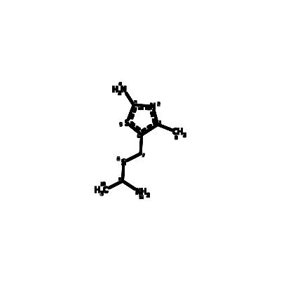 Cc1nc(N)sc1CSC(C)N